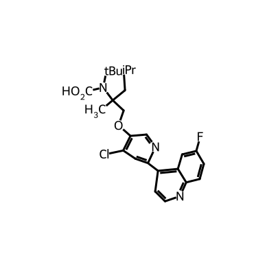 CC(C)CC(C)(COc1cnc(-c2ccnc3ccc(F)cc23)cc1Cl)N(C(=O)O)C(C)(C)C